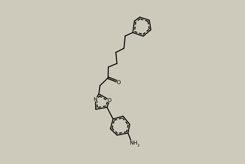 Nc1ccc(-c2cnc(CC(=O)CCCCCc3ccccc3)o2)cc1